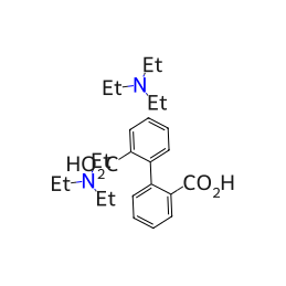 CCN(CC)CC.CCN(CC)CC.O=C(O)c1ccccc1-c1ccccc1C(=O)O